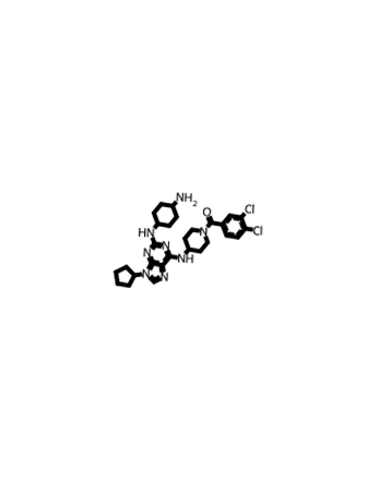 NC1CCC(Nc2nc(NC3CCN(C(=O)c4ccc(Cl)c(Cl)c4)CC3)c3ncn(C4CCCC4)c3n2)CC1